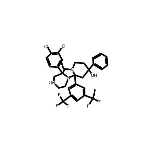 CCN1CCC(O)(c2ccccc2)CC1(c1cc(C(F)(F)F)cc(C(F)(F)F)c1)N1CCNCC1(C)c1ccc(Cl)c(Cl)c1